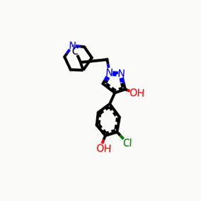 Oc1ccc(-c2cn(CC3CN4CCC3CC4)nc2O)cc1Cl